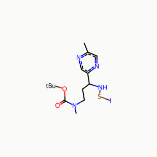 Cc1cnc(C(CCN(C)C(=O)OC(C)(C)C)NSI)cn1